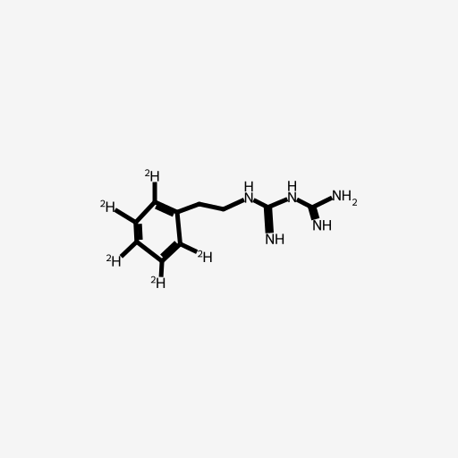 [2H]c1c([2H])c([2H])c(CCNC(=N)NC(=N)N)c([2H])c1[2H]